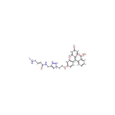 O=C(/C=C/CNI)NCc1cn(CCOc2ccc3c(-c4ccccc4C(=O)O)c4ccc(=O)cc-4oc3c2)nn1